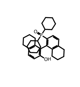 O=P(c1ccc2c(c1-c1c(O)ccc3c1CCCC3)CCCC2)(C1CCCCC1)C1CCCCC1